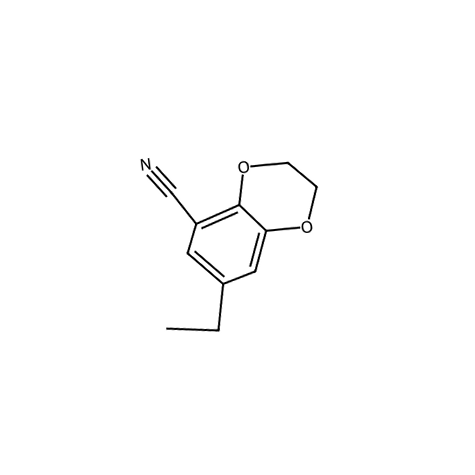 CCc1cc(C#N)c2c(c1)OCCO2